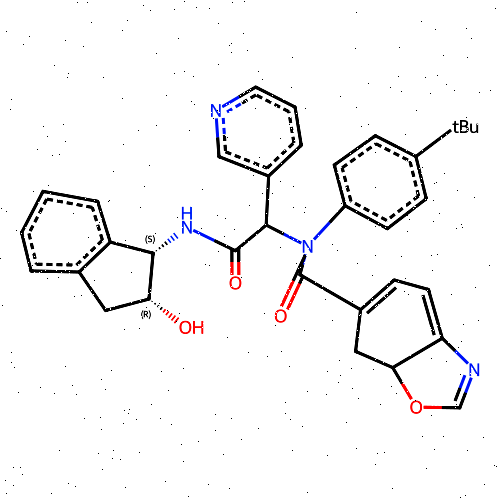 CC(C)(C)c1ccc(N(C(=O)C2=CC=C3N=COC3C2)C(C(=O)N[C@H]2c3ccccc3C[C@H]2O)c2cccnc2)cc1